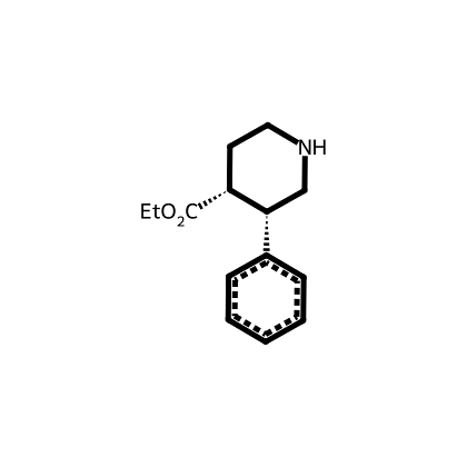 CCOC(=O)[C@@H]1CCNC[C@@H]1c1ccccc1